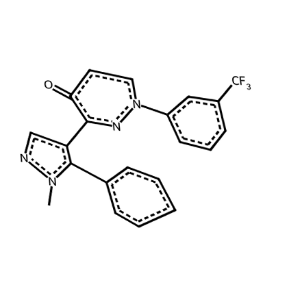 Cn1ncc(-c2nn(-c3cccc(C(F)(F)F)c3)ccc2=O)c1-c1ccccc1